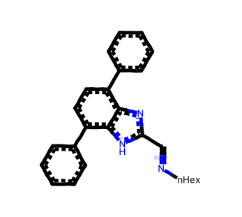 CCCCCC/N=C/c1nc2c(-c3ccccc3)ccc(-c3ccccc3)c2[nH]1